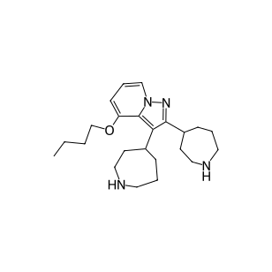 CCCCOc1cccn2nc(C3CCCNCC3)c(C3CCCNCC3)c12